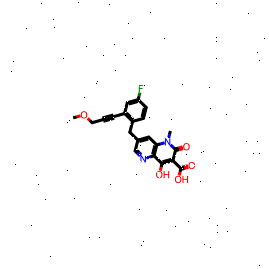 COCC#Cc1cc(F)ccc1Cc1cnc2c(O)c(C(=O)O)c(=O)n(C)c2c1